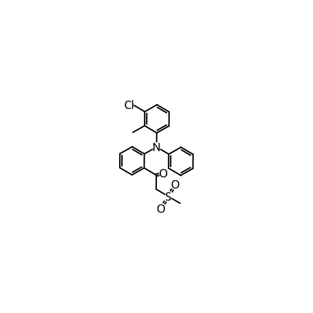 Cc1c(Cl)cccc1N(c1ccccc1)c1ccccc1C(=O)CS(C)(=O)=O